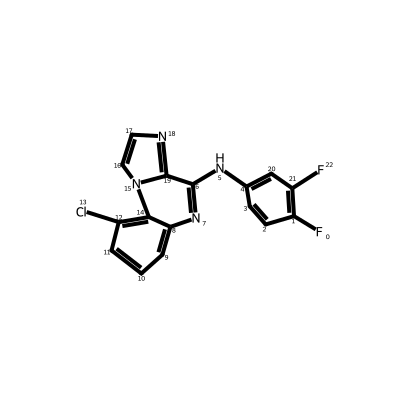 Fc1ccc(Nc2nc3cccc(Cl)c3n3ccnc23)cc1F